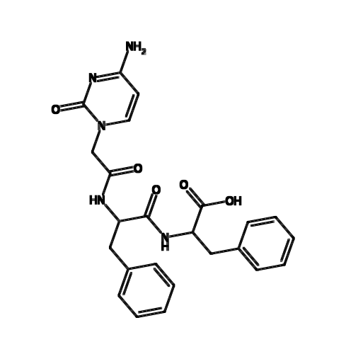 Nc1ccn(CC(=O)NC(Cc2ccccc2)C(=O)NC(Cc2ccccc2)C(=O)O)c(=O)n1